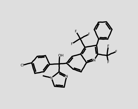 Cn1ccnc1C(O)(c1ccc(Cl)cc1)c1ccc2nc(C(F)(F)F)c(-c3ccccc3)c(C(F)(F)F)c2c1